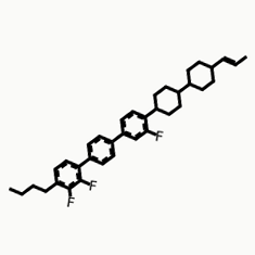 C/C=C/C1CCC(C2CCC(c3ccc(-c4ccc(-c5ccc(CCCC)c(F)c5F)cc4)cc3F)CC2)CC1